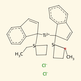 CC[Si]1([C]2([Ti+2][C]3([Si]4(CC)CCC4)C=Cc4ccccc43)C=Cc3ccccc32)CCC1.[Cl-].[Cl-]